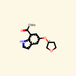 COC(=O)c1cc(O[C@H]2CCOC2)cc2cc[nH]c12